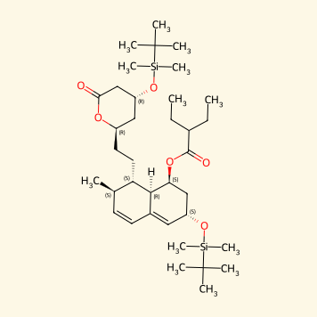 CCC(CC)C(=O)O[C@H]1C[C@H](O[Si](C)(C)C(C)(C)C)C=C2C=C[C@@H](C)[C@H](CC[C@@H]3C[C@@H](O[Si](C)(C)C(C)(C)C)CC(=O)O3)[C@H]21